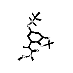 CON(C)C(=O)C(C)C1CC(O[Si](C)(C)C(C)(C)C)CC2OC(C)(C)OC21